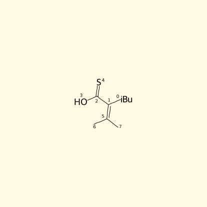 CCC(C)C(C(O)=S)=C(C)C